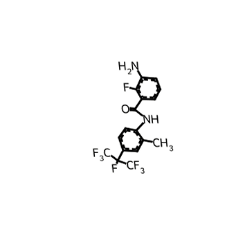 Cc1cc(C(F)(C(F)(F)F)C(F)(F)F)ccc1NC(=O)c1cccc(N)c1F